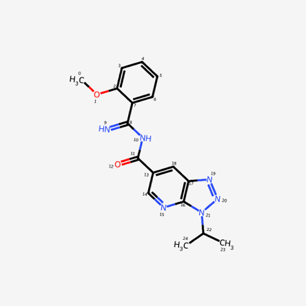 COc1ccccc1C(=N)NC(=O)c1cnc2c(c1)nnn2C(C)C